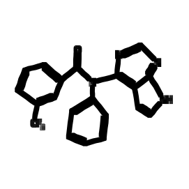 O=C(c1cccc(C(F)(F)F)c1)N(c1ccccc1)c1ncnc2[nH]ccc12